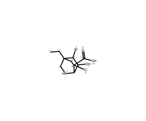 CCC12CNC(C(O)C1Br)C(Cl)(C(=O)O)C2